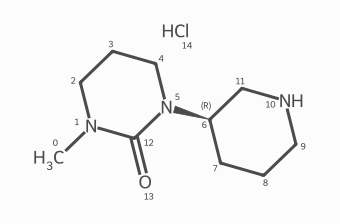 CN1CCCN([C@@H]2CCCNC2)C1=O.Cl